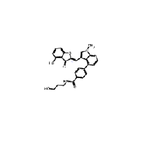 Cn1cc(/C=C2\Oc3cccc(O)c3C2=O)c2c(-c3ccc(C(=O)NCCCO)cc3)ccnc21